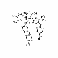 Cc1cc2nc(CN(C)c3nc(Nc4cccc(CN5CCN(C(=O)O)CC5)c4)nc(NC(Cc4ccc(C#N)cc4)C(=O)N(C)C)n3)[nH]c2cc1C